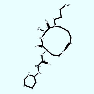 CSCCCN1CCC/C=C/CCC[C@H](CC(=O)NOC2CCCCO2)C(=O)N[C@@H](C(C)C)C1=O